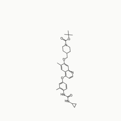 Cc1cc(Oc2ccnc3cc(OCC4CCN(C(=O)OC(C)(C)C)CC4)c(C)cc23)ccc1NC(=O)NC1CC1